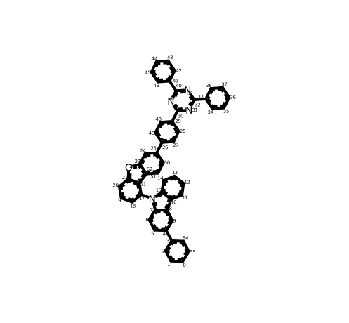 c1ccc(-c2ccc3c(c2)c2ccccc2n3-c2cccc3oc4cc(-c5ccc(-c6nc(-c7ccccc7)nc(-c7ccccc7)n6)cc5)ccc4c23)cc1